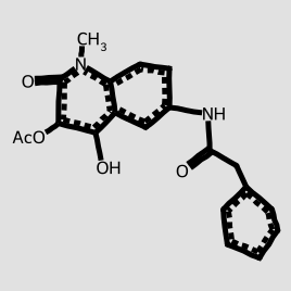 CC(=O)Oc1c(O)c2cc(NC(=O)Cc3ccccc3)ccc2n(C)c1=O